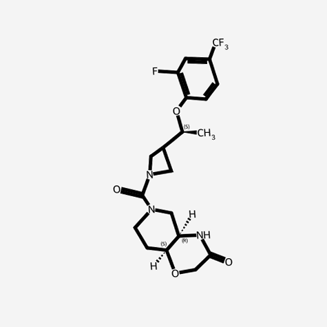 C[C@H](Oc1ccc(C(F)(F)F)cc1F)C1CN(C(=O)N2CC[C@@H]3OCC(=O)N[C@@H]3C2)C1